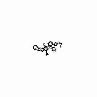 Cn1cnnc1[C@]1(c2cccc(-n3cc(C4CC4)c4cc(CN5CCCCC5)[nH]c4c3=O)c2)C[C@@H](OC(F)F)C1